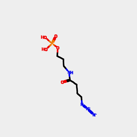 [N-]=[N+]=NCCCC(=O)NCCCOP(=O)(O)O